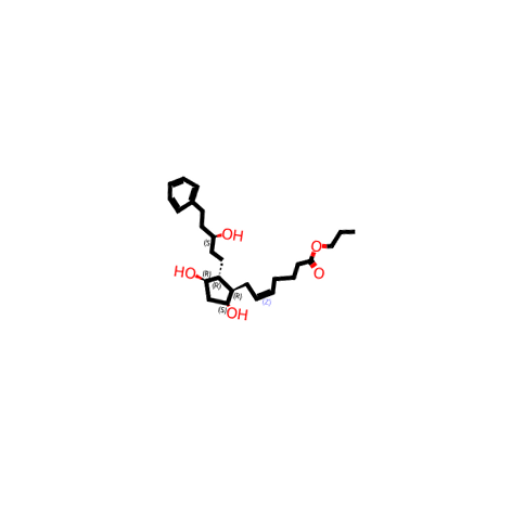 CCCOC(=O)CCC/C=C\C[C@@H]1[C@@H](CC[C@H](O)CCc2ccccc2)[C@H](O)C[C@@H]1O